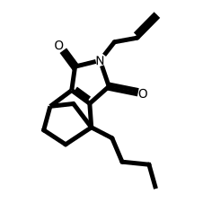 C=CCN1C(=O)C2=C(C1=O)C1(CCCC)CCC2C1